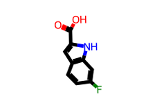 O=C(O)c1cc2ccc(F)cc2[nH]1